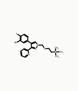 C[Si](C)(C)CCOCn1cc(-c2ccc(F)c(Br)c2)c(-c2ccccn2)n1